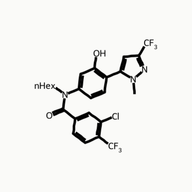 CCCCCCN(C(=O)c1ccc(C(F)(F)F)c(Cl)c1)c1ccc(-c2cc(C(F)(F)F)nn2C)c(O)c1